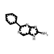 Nc1nc2nc(-c3ccccc3)ncc2[nH]1